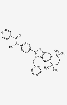 CC1(C)CCC(C)(C)c2cc3c(cc21)nc(-c1ccc(C(O)C(=O)c2ccccc2)cc1)n3Cc1ccccc1